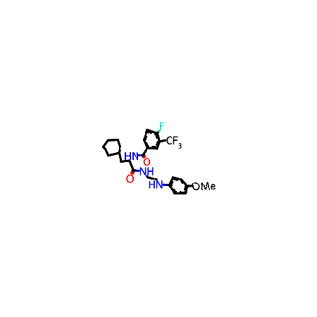 COc1ccc(NCCNC(=O)C(CC2CCCCC2)NC(=O)c2ccc(F)c(C(F)(F)F)c2)cc1